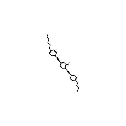 CCCCCCc1ccc(C#Cc2ccc(C#Cc3ccc(CCCC)cc3)c(F)c2)cc1